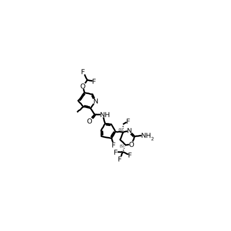 Cc1cc(OC(F)F)cnc1C(=O)Nc1ccc(F)c([C@]2(CF)C[C@@H](C(F)(F)F)OC(N)=N2)c1